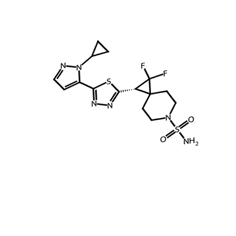 NS(=O)(=O)N1CCC2(CC1)[C@H](c1nnc(-c3ccnn3C3CC3)s1)C2(F)F